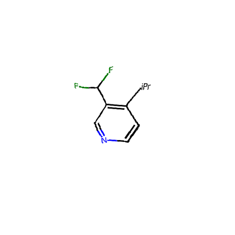 CC(C)c1ccncc1C(F)F